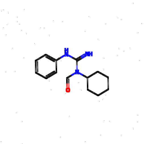 N=C(Nc1ccccc1)N(C=O)C1CCCCC1